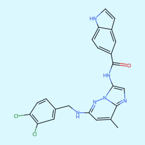 Cc1cc(NCc2ccc(Cl)c(Cl)c2)nn2c(NC(=O)c3ccc4[nH]ccc4c3)cnc12